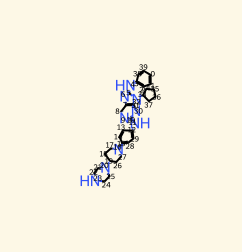 c1ccc(Nc2nc3cnc(Nc4ccc(N5CCC(N6CCNCC6)CC5)cc4)nc3n2C2CCCC2)cc1